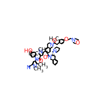 Cc1cc(OCCN2CCOCC2)ccc1CC(=O)N1CCc2cc(-c3cc(C(=O)N(c4ccc(O)cc4)c4cc(C#N)n(C)c4C)c(C)n3C)c(C(=O)N3Cc4ccccc4C[C@H]3CN3CCCCC3)cc2C1